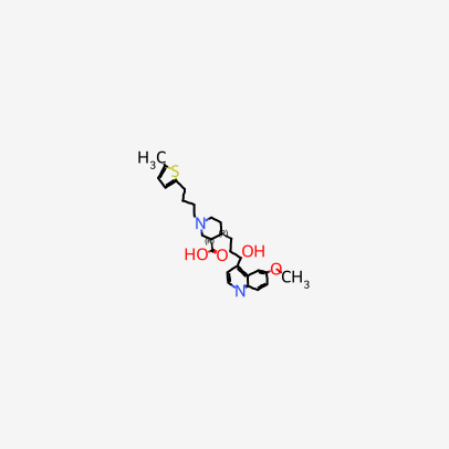 COc1ccc2nccc(C(O)CC[C@@H]3CCN(CCCCc4ccc(C)s4)C[C@@H]3C(=O)O)c2c1